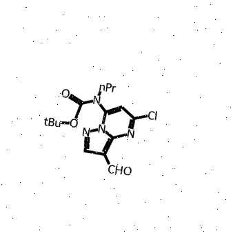 CCCN(C(=O)OC(C)(C)C)c1cc(Cl)nc2c(C=O)cnn12